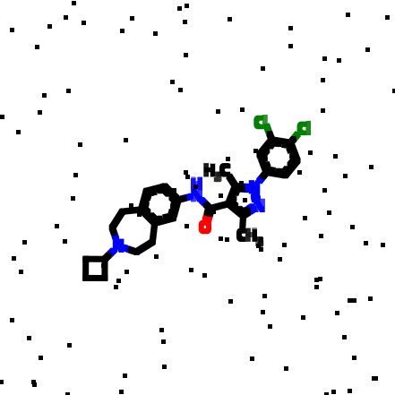 Cc1nn(-c2ccc(Cl)c(Cl)c2)c(C)c1C(=O)Nc1ccc2c(c1)CCN(C1CCC1)CC2